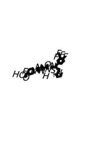 C[C@@H]1CCCN1Cc1sc(NC(=O)c2cnc(N3CCC(F)(C(=O)O)CC3)cn2)nc1-c1ccc(F)c(C(F)(F)F)c1